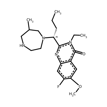 CCC[C@H](c1nc2cc(F)c(OC)cc2c(=O)n1CC)N1CCNCC(C)C1